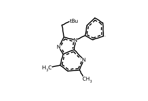 Cc1cc(C)c2nc(CC(C)(C)C)n(-c3c[c]ccc3)c2n1